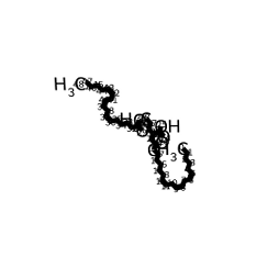 CCCCC/C=C\C/C=C\C/C=C\CCCCCOC(=O)CC(C(=O)O)C(CC)OC(=O)CCCC/C=C\C/C=C\C/C=C\CCCCC